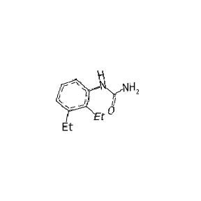 CCc1cccc(NC(N)=O)c1CC